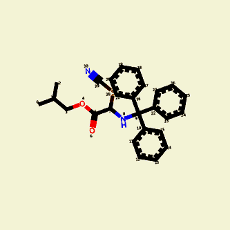 CC(C)COC(=O)C(NC(c1ccccc1)(c1ccccc1)c1ccccc1)SC#N